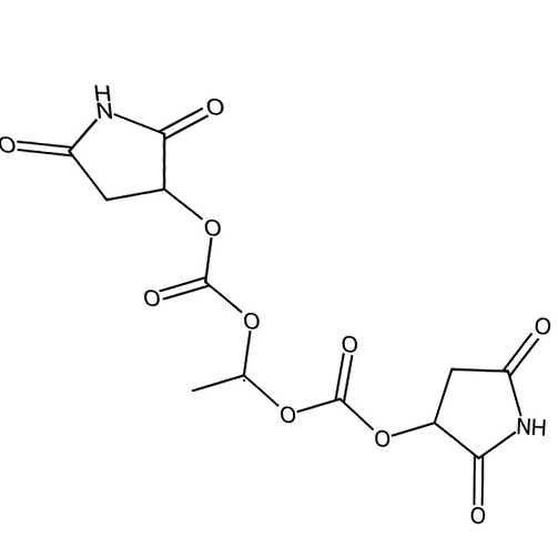 C[C](OC(=O)OC1CC(=O)NC1=O)OC(=O)OC1CC(=O)NC1=O